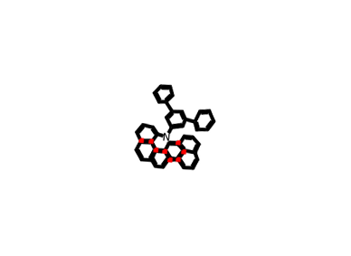 c1ccc(-c2cc(-c3ccccc3)cc(N(c3ccccc3-c3ccccc3)c3ccccc3-c3cccc(-c4cccc5ccccc45)c3)c2)cc1